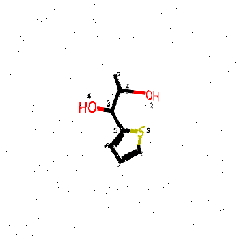 CC(O)C(O)c1cccs1